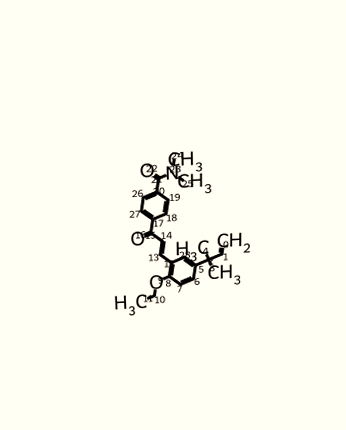 C=CC(C)(C)c1ccc(OCC)c(C=CC(=O)c2ccc(C(=O)N(C)C)cc2)c1